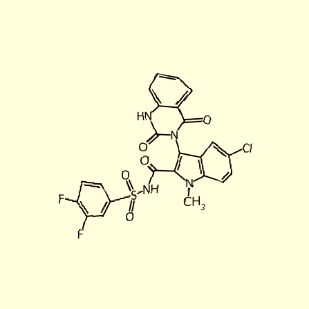 Cn1c(C(=O)NS(=O)(=O)c2ccc(F)c(F)c2)c(-n2c(=O)[nH]c3ccccc3c2=O)c2cc(Cl)ccc21